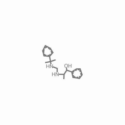 CC(NCNC(C)(C)c1ccccc1)C(O)c1ccccc1